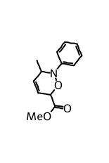 COC(=O)C1C=CC(C)N(c2ccccc2)O1